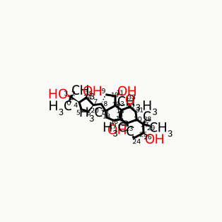 CC(C)(O)[C@@H]1CC[C@H]([C@@H]2C[C@H](O)[C@@]3(C)C4=C([C@H](O)C[C@]23C)[C@@]2(C)CC[C@@H](O)C(C)(C)C2CC4=O)[C@@H]1O